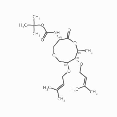 CC(C)=CCO[C@H]1[C@H](C)OC(=O)[C@@H](NC(=O)OC(C)(C)C)COC[C@@H]1OCC=C(C)C